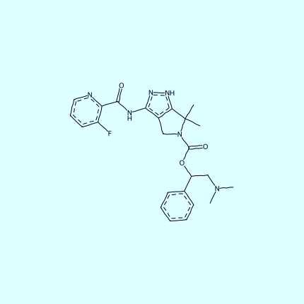 CN(C)CC(OC(=O)N1Cc2c(NC(=O)c3ncccc3F)n[nH]c2C1(C)C)c1ccccc1